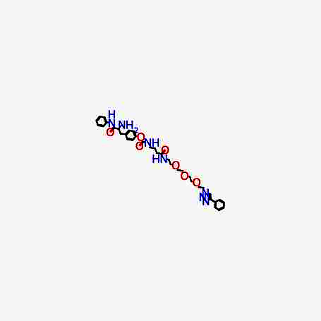 N[C@@H](Cc1ccc(OC(=O)NCCCC(=O)NCCOCCOCCOCCn2cc(-c3ccccc3)nn2)cc1)C(=O)Nc1ccccc1